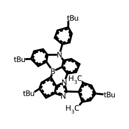 Cc1cc(C(C)(C)C)cc(C)c1-c1nc2cc(C(C)(C)C)cc3c2n1-c1cccc2c1B3c1cc(C(C)(C)C)ccc1N2c1ccc(C(C)(C)C)cc1